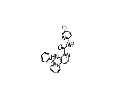 O=C(Nc1c(N2C=CC=CC=N2)ccnc1C(=O)Nc1ccc(Cl)cn1)c1ccccc1